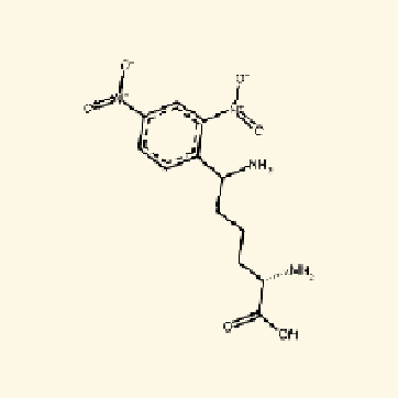 NC(CCC[C@H](N)C(=O)O)c1ccc([N+](=O)[O-])cc1[N+](=O)[O-]